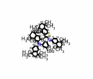 CC(C)(C)c1cc2c3c(c1)N(c1ccc4c(c1)C(C)(C)CCC4(C)C)c1sc4cc5c(cc4c1B3c1cc3c(cc1N2c1ccc2c(c1)C(C)(C)CCC2(C)C)C(C)(C)CCC3(C)C)C(C)(C)CCC5(C)C